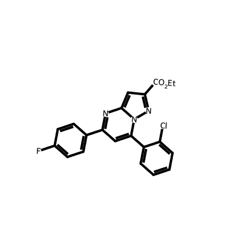 CCOC(=O)c1cc2nc(-c3ccc(F)cc3)cc(-c3ccccc3Cl)n2n1